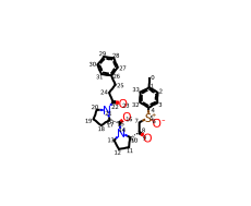 Cc1ccc([S+]([O-])CC(=O)[C@@H]2CCCN2C(=O)[C@@H]2CCCN2C(=O)CCc2ccccc2)cc1